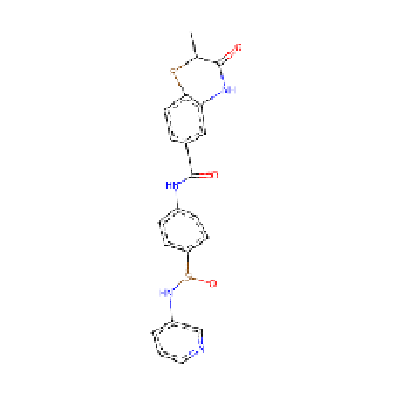 CC1Sc2ccc(C(=O)Nc3ccc([S+]([O-])Nc4cccnc4)cc3)cc2NC1=O